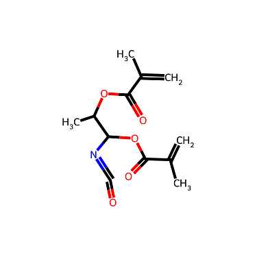 C=C(C)C(=O)OC(C)C(N=C=O)OC(=O)C(=C)C